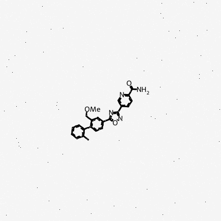 COCc1cc(-c2nc(-c3ccc(C(N)=O)nc3)no2)ccc1-c1ccccc1C